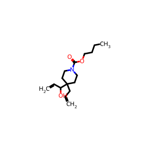 C=CCC1(C(O)C=C)CCN(C(=O)OCCCC)CC1